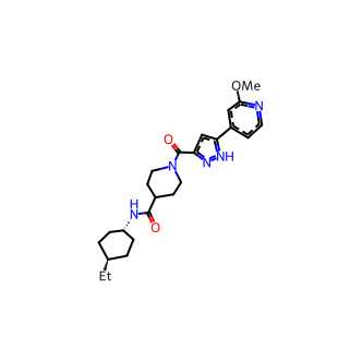 CC[C@H]1CC[C@H](NC(=O)C2CCN(C(=O)c3cc(-c4ccnc(OC)c4)[nH]n3)CC2)CC1